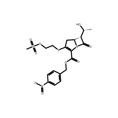 C[C@@H](O)[C@@H]1C(=O)N2C(C(=O)OCc3ccc([N+](=O)[O-])cc3)=C(SCCOS(C)(=O)=O)CC12